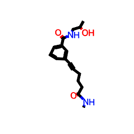 CNC(=O)CCCC#Cc1cccc(C(=O)NCC(C)O)c1